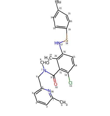 Cc1cccc(CN(C=O)C(=O)c2c(Cl)ccc(NSc3ccc(C(C)(C)C)cc3)c2C)n1